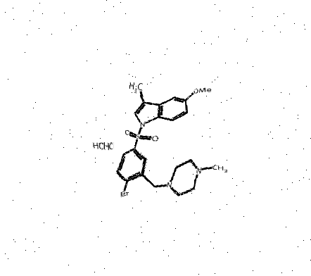 COc1ccc2c(c1)c(C)cn2S(=O)(=O)c1ccc(Br)c(CN2CCN(C)CC2)c1.Cl.Cl